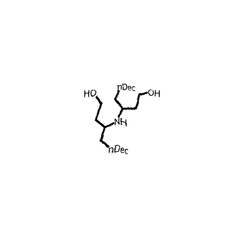 CCCCCCCCCCCC(CCO)NC(CCO)CCCCCCCCCCC